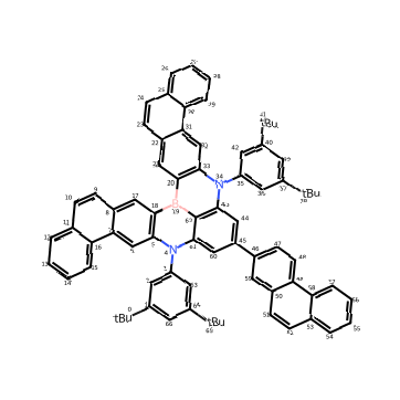 CC(C)(C)c1cc(N2c3cc4c(ccc5ccccc54)cc3B3c4cc5ccc6ccccc6c5cc4N(c4cc(C(C)(C)C)cc(C(C)(C)C)c4)c4cc(-c5ccc6c(ccc7ccccc76)c5)cc2c43)cc(C(C)(C)C)c1